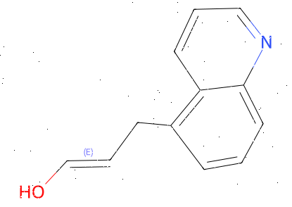 O/C=C/Cc1cccc2ncccc12